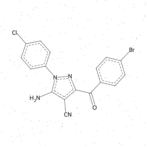 N#Cc1c(C(=O)c2ccc(Br)cc2)nn(-c2ccc(Cl)cc2)c1N